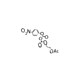 CC(=O)OCCOC(=O)OC(=O)Oc1ccc([N+](=O)[O-])cc1